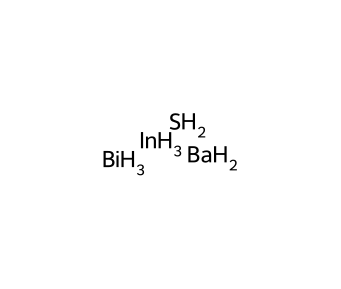 S.[BaH2].[BiH3].[InH3]